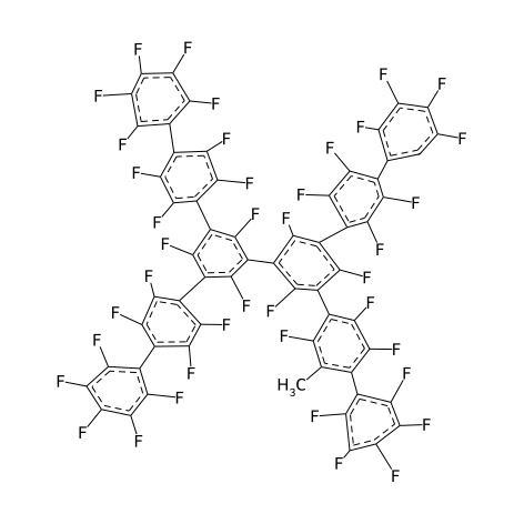 Cc1c(F)c(-c2c(F)c(-c3c(F)c(F)c(-c4cc(F)c(F)c(F)c4F)c(F)c3F)c(F)c(-c3c(F)c(-c4c(F)c(F)c(-c5c(F)c(F)c(F)c(F)c5F)c(F)c4F)c(F)c(-c4c(F)c(F)c(-c5c(F)c(F)c(F)c(F)c5F)c(F)c4F)c3F)c2F)c(F)c(F)c1-c1c(F)c(F)c(F)c(F)c1F